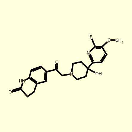 COc1ccc(C2(O)CCN(CC(=O)c3ccc4c(c3)CCC(=O)N4)CC2)nc1F